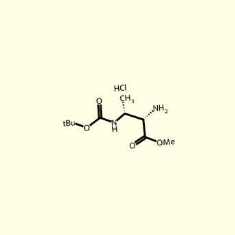 COC(=O)[C@@H](N)[C@@H](C)NC(=O)OC(C)(C)C.Cl